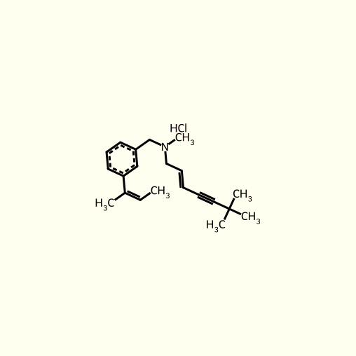 C/C=C(/C)c1cccc(CN(C)CC=CC#CC(C)(C)C)c1.Cl